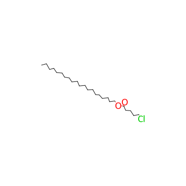 CCCCCCCCCCCCCCCCCCCCOC(=O)CCCCCl